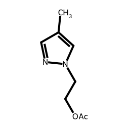 CC(=O)OCCn1cc(C)cn1